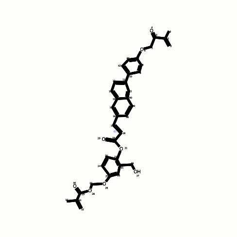 C=C(C)C(=O)COc1ccc(-c2ccc3cc(/C=C/C(=O)Oc4ccc(OCOC(=O)C(=C)C)cc4CO)ccc3c2)cc1